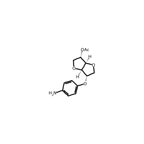 CC(=O)O[C@H]1CO[C@H]2[C@@H]1OC[C@@H]2Oc1ccc(N)cc1